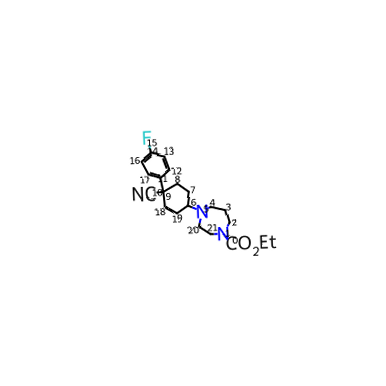 CCOC(=O)N1CCCN(C2CCC(C#N)(c3ccc(F)cc3)CC2)CC1